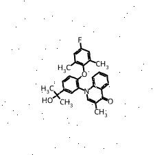 Cc1cc(F)cc(C)c1Oc1ccc(C(C)(C)O)cc1-n1cc(C)c(=O)c2ccccc21